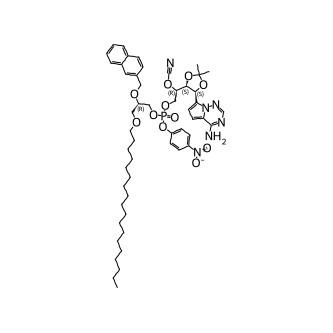 CCCCCCCCCCCCCCCCCCOC[C@H](COP(=O)(OC[C@@H](OC#N)[C@H]1OC(C)(C)O[C@H]1c1ccc2c(N)ncnn12)Oc1ccc([N+](=O)[O-])cc1)OCc1ccc2ccccc2c1